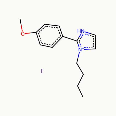 CCCC[n+]1cc[nH]c1-c1ccc(OC)cc1.[I-]